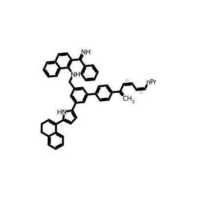 C=C(/C=C\C=C/CCC)c1ccc(-c2cc(CNc3c(C(=N)c4ccccc4)ccc4ccccc34)cc(-c3ccc(C4=CCCc5ccccc54)[nH]3)c2)cc1